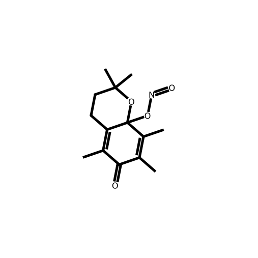 CC1=C(C)C2(ON=O)OC(C)(C)CCC2=C(C)C1=O